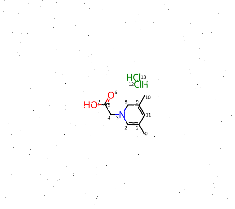 CC1=CN(CC(=O)O)CC(C)=C1.Cl.Cl